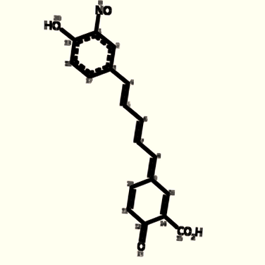 O=Nc1cc(/C=C/C=C/C=C2\C=CC(=O)C(C(=O)O)=C2)ccc1O